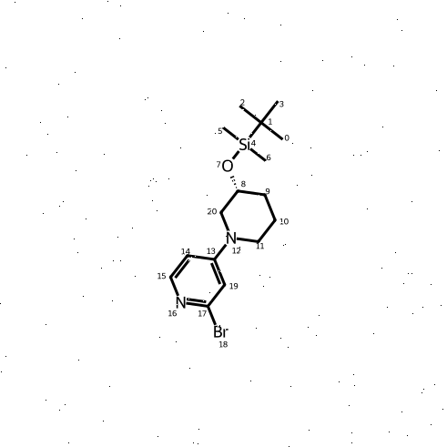 CC(C)(C)[Si](C)(C)O[C@@H]1CCCN(c2ccnc(Br)c2)C1